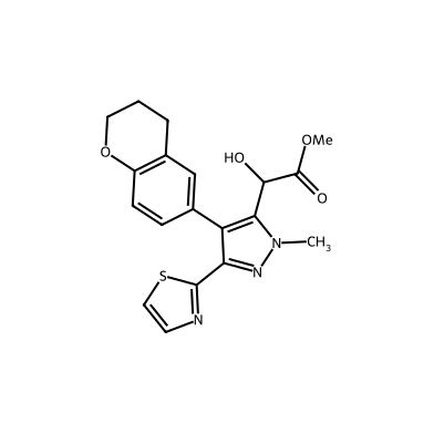 COC(=O)C(O)c1c(-c2ccc3c(c2)CCCO3)c(-c2nccs2)nn1C